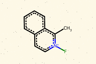 Cc1c2ccccc2cc[n+]1F